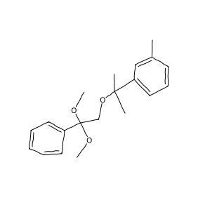 COC(COC(C)(C)c1cccc(C)c1)(OC)c1ccccc1